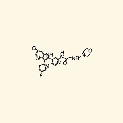 O=C(CNCCN1CCOCC1)Nc1cc(-c2[nH]c3cc(Cl)cnc3c2-c2ccc(F)cn2)ccn1